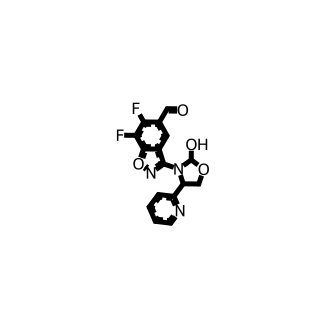 O=Cc1cc2c(N3C(O)OCC3c3ccccn3)noc2c(F)c1F